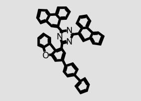 c1ccc(-c2ccc(-c3cc(-c4nc(-c5cc6ccccc6c6ccccc56)nc(-c5cc6ccccc6c6ccccc56)n4)c4c(c3)oc3ccccc34)cc2)cc1